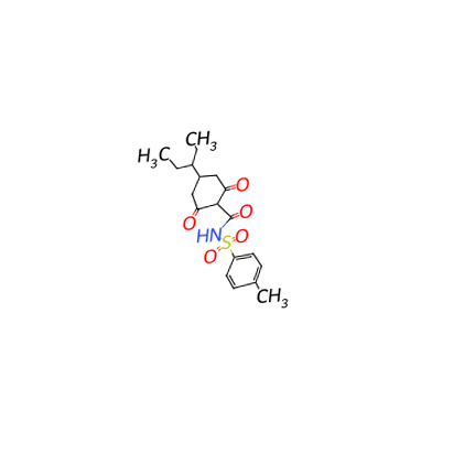 CCC(CC)C1CC(=O)C(C(=O)NS(=O)(=O)c2ccc(C)cc2)C(=O)C1